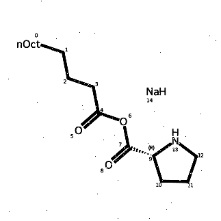 CCCCCCCCCCCC(=O)OC(=O)[C@H]1CCCN1.[NaH]